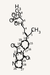 CCC(=CCCCC(CC)P(=O)(O)O)c1ccc2c(c1)C(=O)c1nc3ncccc3c(=O)n1-2